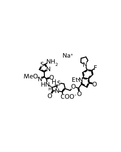 CCn1c(C(=O)OCC2=C(C(=O)[O-])N3C(=O)[C@@H](NC(=O)C(=NOC)c4csc(N)n4)[C@H]3SC2)cc(=O)c2cc(F)c(N3CCCC3)cc21.[Na+]